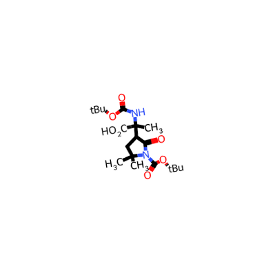 CC(C)(C)OC(=O)NC(C)(C(=O)O)C1CC(C)(C)N(C(=O)OC(C)(C)C)C1=O